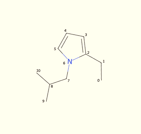 CCc1cccn1CC(C)C